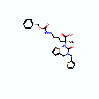 C[C@@](CCCCNC(=O)OCc1ccccc1)(NC(=O)N(Cc1cccs1)Cc1cccs1)C(=O)O